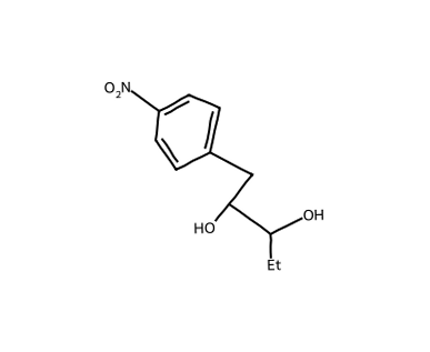 CCC(O)C(O)Cc1ccc([N+](=O)[O-])cc1